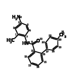 Cc1cc(N)ccc1NC(=O)c1ccccc1-c1ccc(C(F)(F)F)cc1